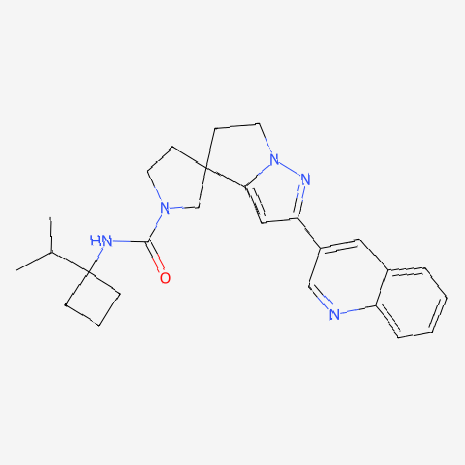 CC(C)C1(NC(=O)N2CCC3(CCn4nc(-c5cnc6ccccc6c5)cc43)C2)CCC1